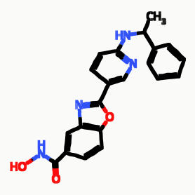 CC(Nc1ccc(-c2nc3cc(C(=O)NO)ccc3o2)cn1)c1ccccc1